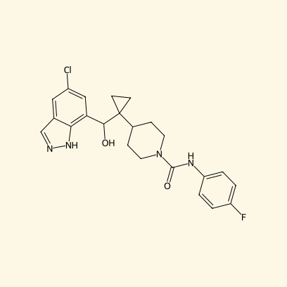 O=C(Nc1ccc(F)cc1)N1CCC(C2(C(O)c3cc(Cl)cc4cn[nH]c34)CC2)CC1